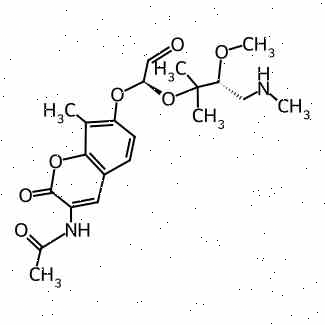 CNC[C@@H](OC)C(C)(C)O[C@H](C=O)Oc1ccc2cc(NC(C)=O)c(=O)oc2c1C